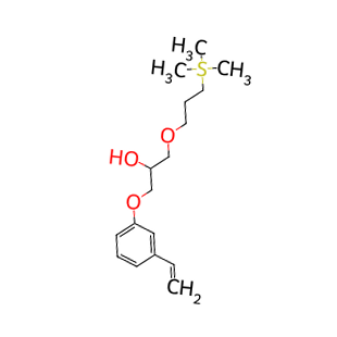 C=Cc1cccc(OCC(O)COCCCS(C)(C)C)c1